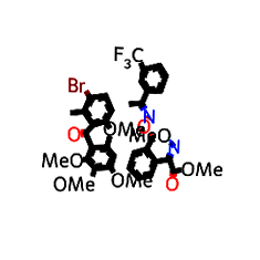 CO/N=C(/C(=O)OC)c1ccccc1CO/N=C(\C)c1cccc(C(F)(F)F)c1.COc1cc(C)c(C(=O)c2c(OC)ccc(Br)c2C)c(OC)c1OC